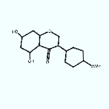 COC1CCC(C2COC3CC(O)CC(O)C3C2=O)CC1